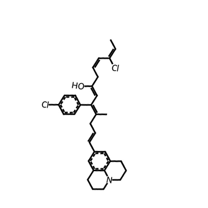 C/C=C(Cl)\C=C/C/C(O)=C/C(=C(\C)C/C=C/c1cc2c3c(c1)CCCN3CCC2)c1ccc(Cl)cc1